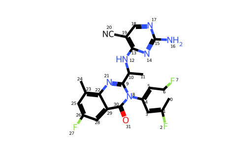 C/C(F)=C\C(=C/CF)n1c(C(C)Nc2nc(N)ncc2C#N)nc2c(C)cc(F)cc2c1=O